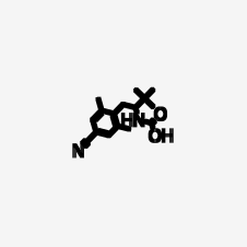 Cc1cc(C#N)cc(C)c1CC(NC(=O)O)C(C)(C)C